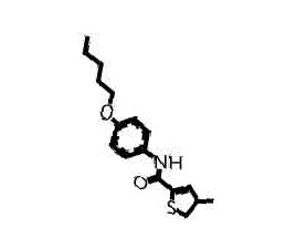 CCCCCOc1ccc(NC(=O)C2=CC(C)CS2)cc1